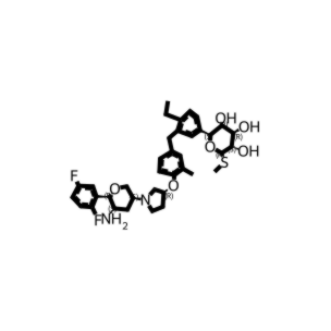 CCc1ccc([C@@H]2O[C@H](SC)[C@@H](O)[C@H](O)[C@H]2O)cc1Cc1ccc(O[C@@H]2CCN([C@@H]3CO[C@H](c4cc(F)ccc4F)[C@@H](N)C3)C2)c(C)c1